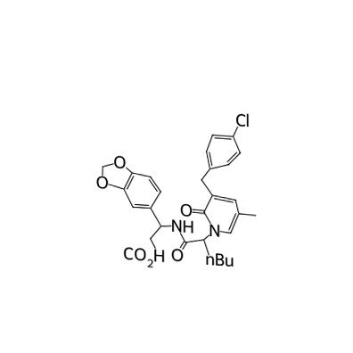 CCCCC(C(=O)NC(CC(=O)O)c1ccc2c(c1)OCO2)n1cc(C)cc(Cc2ccc(Cl)cc2)c1=O